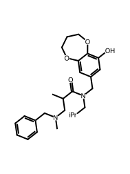 CC(C)CN(Cc1cc(O)c2c(c1)OCCCO2)C(=O)C(C)CN(C)Cc1ccccc1